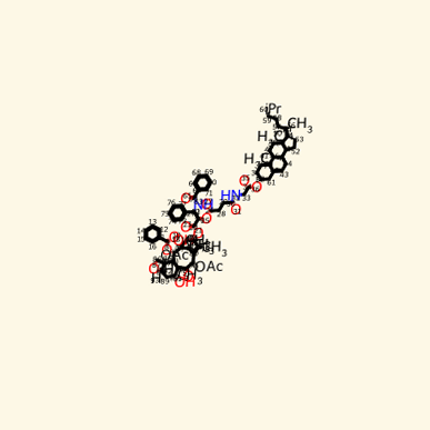 CC(=O)O[C@H]1C(=O)[C@@]2(C)[C@H]([C@H](OC(=O)c3ccccc3)[C@]3(O)C[C@H](OC(=O)C(OC(=O)CCC(=O)NCC(=O)O[C@H]4CC[C@@]5(C)C(=CCC6C5CC[C@@]5(C)C6CC[C@@H]5[C@H](C)CCCC(C)C)C4)[C@@H](NC(=O)c4ccccc4)c4ccccc4)C(C)=C1C3(C)C)[C@]1(OC(C)=O)CO[C@@H]1C[C@@H]2O